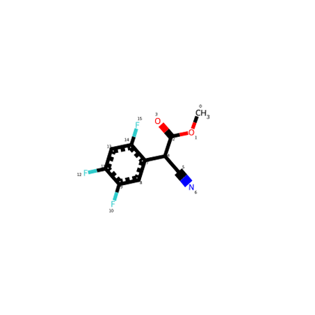 COC(=O)C(C#N)c1cc(F)c(F)cc1F